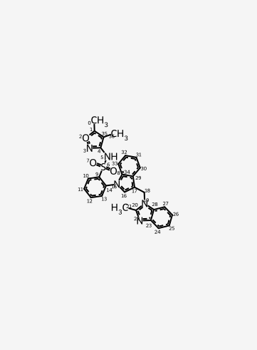 Cc1onc(NS(=O)(=O)c2ccccc2-n2cc(Cn3c(C)nc4ccccc43)c3ccccc32)c1C